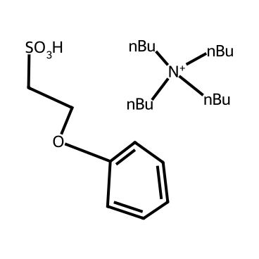 CCCC[N+](CCCC)(CCCC)CCCC.O=S(=O)(O)CCOc1ccccc1